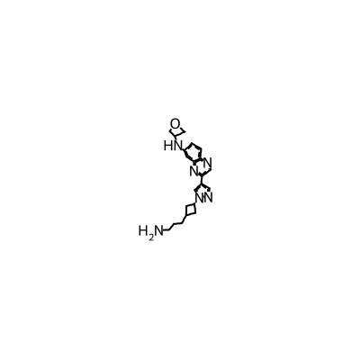 NCCCC1CC(n2cc(-c3cnc4ccc(NC5COC5)cc4n3)cn2)C1